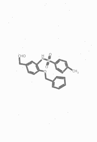 Cc1ccc(S(=O)(=O)Nc2cc(CC=O)ccc2OCc2ccccc2)cc1